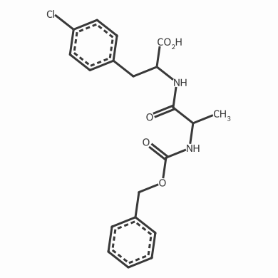 CC(NC(=O)OCc1ccccc1)C(=O)NC(Cc1ccc(Cl)cc1)C(=O)O